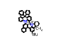 CC(C)(C)c1cc2c3c(c1)C1(C)CCCCC1(C)N3B1c3cccc4c3N(c3ccccc3C4(c3ccccc3)c3ccccc3)c3cc4ccccc4c-2c31